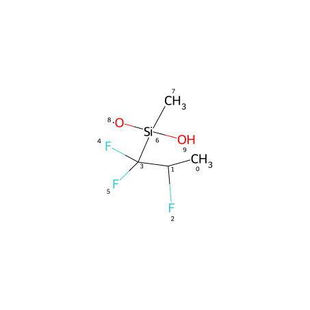 CC(F)C(F)(F)[Si](C)([O])O